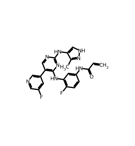 C=CC(=O)Nc1ccc(F)c(Nc2nc(Nc3c[nH]nc3C)ncc2-c2cncc(F)c2)c1